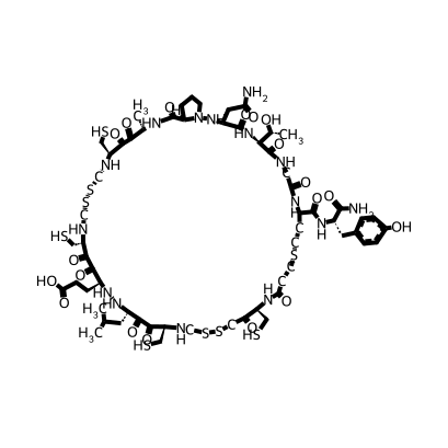 CC(C)C[C@@H]1NN[C@@H](CCC(=O)O)C(=O)C(=O)[C@H](CS)NCSSCN[C@@H](CS)C(=O)C(=O)[C@H](C)NC(=O)[C@@H]2CCCN2NC(CC(N)=O)C(=O)N[C@@H]([C@@H](C)O)C(=O)NCC(=O)NC(C(=O)N[C@@H](Cc2ccc(O)cc2)C(N)=O)CCSCCC(=O)N[C@@H](CS)C(=O)CSSCN[C@@H](CS)C(=O)C1=O